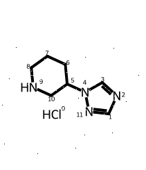 Cl.c1ncn(C2CCCNC2)n1